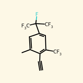 C#Cc1c(C)cc(C(F)(C(F)(F)F)C(F)(F)F)cc1C(F)(F)F